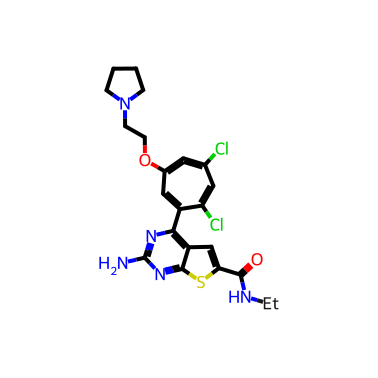 CCNC(=O)c1cc2c(C3=CC(OCCN4CCCC4)=C=C(Cl)C=C3Cl)nc(N)nc2s1